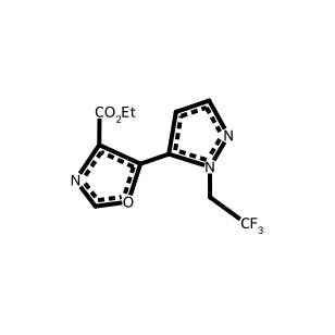 CCOC(=O)c1ncoc1-c1ccnn1CC(F)(F)F